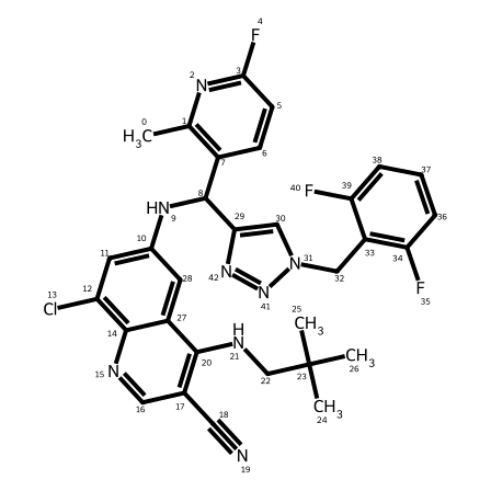 Cc1nc(F)ccc1C(Nc1cc(Cl)c2ncc(C#N)c(NCC(C)(C)C)c2c1)c1cn(Cc2c(F)cccc2F)nn1